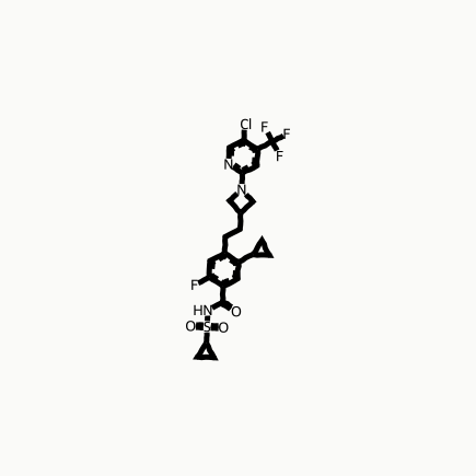 O=C(NS(=O)(=O)C1CC1)c1cc(C2CC2)c(CCC2CN(c3cc(C(F)(F)F)c(Cl)cn3)C2)cc1F